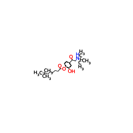 CC(C)(C)CCCCCC(=O)Oc1ccc(C(=O)CNC(C)(C)C)cc1O